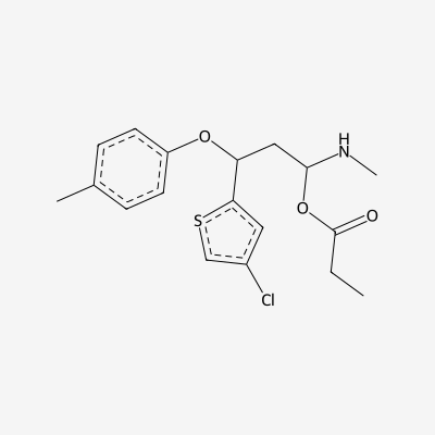 CCC(=O)OC(CC(Oc1ccc(C)cc1)c1cc(Cl)cs1)NC